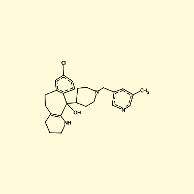 Cc1cncc(CN2CCC(C3(O)C4=C(CCCN4)CCc4cc(Cl)ccc43)CC2)c1